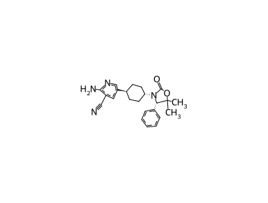 CC1(C)OC(=O)N([C@H]2CC[C@H](c3cnc(N)c(C#N)c3)CC2)[C@H]1c1ccccc1